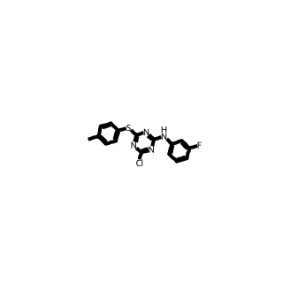 Cc1ccc(Sc2nc(Cl)nc(Nc3cccc(F)c3)n2)cc1